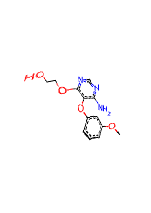 COc1cccc(Oc2c(N)ncnc2OCCO)c1